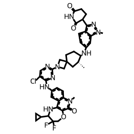 C[C@@H]1CC2(CC[C@H]1Nc1ccc3c(C4CCC(=O)NC4=O)nn(C)c3c1)CN(c1ncc(Cl)c(Nc3ccc4c(c3)c3c(c(=O)n4C)OCC(F)(F)C(C4CC4)N3)n1)C2